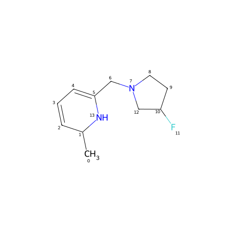 CC1C=CC=C(CN2CCC(F)C2)N1